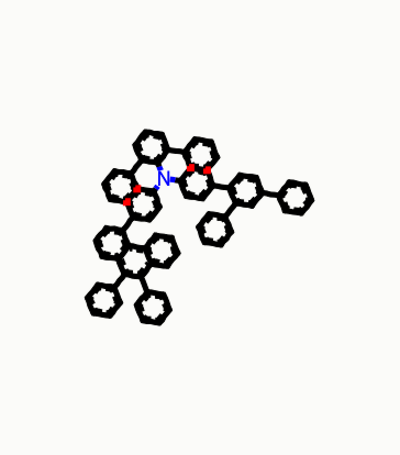 c1ccc(-c2ccc(-c3ccc(N(c4ccc(-c5cccc6c(-c7ccccc7)c(-c7ccccc7)c7ccccc7c56)cc4)c4c(-c5ccccc5)cccc4-c4ccccc4)cc3)c(-c3ccccc3)c2)cc1